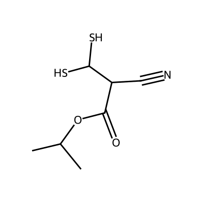 CC(C)OC(=O)C(C#N)C(S)S